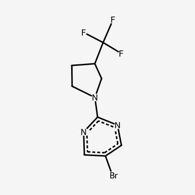 FC(F)(F)C1CCN(c2ncc(Br)cn2)C1